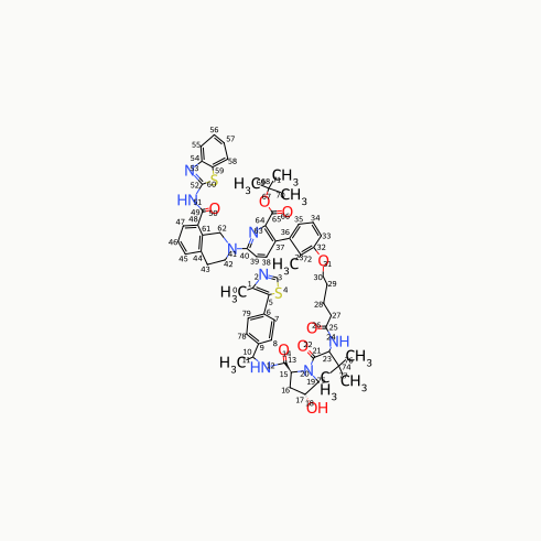 Cc1ncsc1-c1ccc(C(C)NC(=O)[C@@H]2C[C@@H](O)CN2C(=O)C(NC(=O)CCCCOc2cccc(-c3ccc(N4CCc5cccc(C(=O)Nc6nc7ccccc7s6)c5C4)nc3C(=O)OC(C)(C)C)c2C)C(C)(C)C)cc1